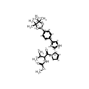 COC(=O)NC(C(=O)N1CC=C[C@H]1c1nc(-c2ccc(B3OC(C)(C)C(C)(C)O3)cc2)c[nH]1)C(C)C